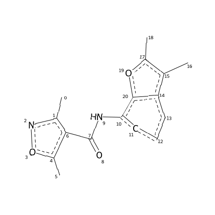 Cc1noc(C)c1C(=O)Nc1cccc2c(C)c(C)oc12